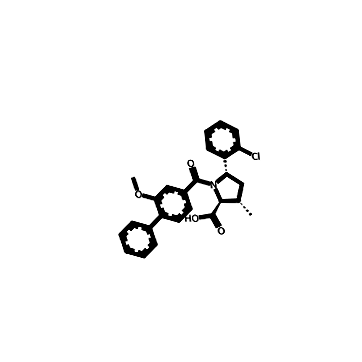 COc1cc(C(=O)N2[C@H](C(=O)O)[C@@H](C)C[C@H]2c2ccccc2Cl)ccc1-c1ccccc1